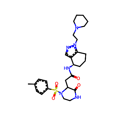 Cc1ccc(S(=O)(=O)N2CCNC(=O)C2CC(=O)N[C@@H]2CCCc3c2cnn3CCN2CCCCC2)cc1